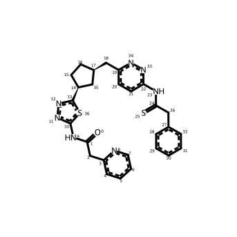 O=C(Cc1ccccn1)Nc1nnc([C@H]2CC[C@@H](Cc3ccc(NC(=S)Cc4ccccc4)nn3)C2)s1